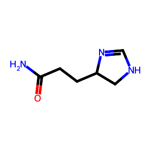 NC(=O)CCC1CNC=N1